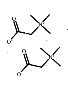 C[N+](C)(C)CC(=O)[O-].C[N+](C)(C)CC(=O)[O-]